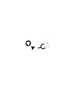 CS(=O)(=O)N1CCC(CN[C@@H]2C[C@H]2c2ccccc2)CC1